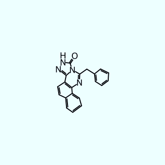 O=c1[nH]nc2c3ccc4ccccc4c3nc(Cc3ccccc3)n12